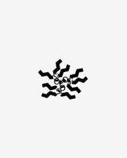 CCCC[Si](CCCC)(CCCC)OP(O[Si](CCCC)(CCCC)CCCC)O[Si](CCCC)(CCCC)CCCC